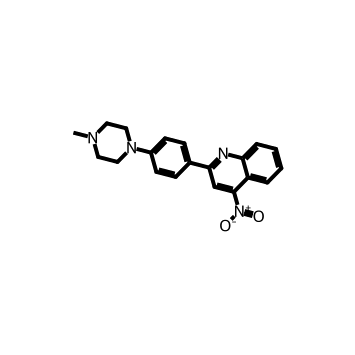 CN1CCN(c2ccc(-c3cc([N+](=O)[O-])c4ccccc4n3)cc2)CC1